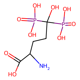 NC(CCC(O)(P(=O)(O)O)P(=O)(O)O)C(=O)O